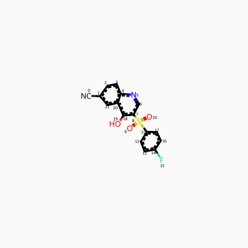 N#Cc1ccc2ncc(S(=O)(=O)c3ccc(F)cc3)c(O)c2c1